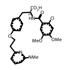 CNc1cccc(CCOc2ccc(C[C@H](NC(=O)c3cc(OC)c(OC)cc3Cl)C(=O)O)cc2)n1